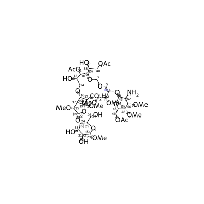 COC[C@@H](OC)/C(=C\OCOC(C(OC(C)=O)C(O)CO[C@@H]1C(C(=O)O)[C@]2(OC)O[C@@H](O[C@@H]3C(CO)O[C@H](OC)[C@@H](O)C3O)C(OC)C12)[C@@H](O)COC(C)=O)O[C@H]1OC(COC(C)=O)[C@@H](OC)C(OC)[C@@H]1N